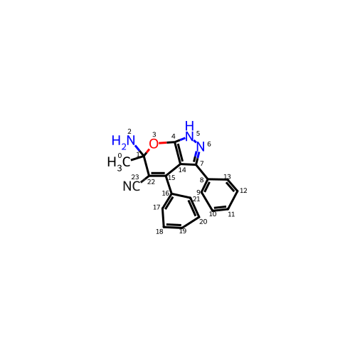 CC1(N)Oc2[nH]nc(-c3ccccc3)c2C(c2ccccc2)=C1C#N